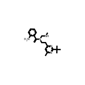 C=C(c1ccccc1N)N(CCc1cc(C)nc(C(C)(C)C)n1)CNC